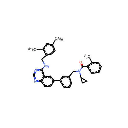 COc1ccc(CNc2ncnc3ccc(-c4cccc(CN(C(=O)c5ccccc5C(F)(F)F)C5CC5)c4)cc23)c(OC)c1